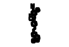 COc1cc(CC(=O)N2CCC(CCc3ccc4c(c3)CCOC4=O)CC2)c(F)cc1C#N